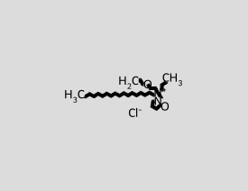 C=CCOCC[N+](CCCC)(CCCCCCCCCCCCCCCCCC)CN1CCCC1=O.[Cl-]